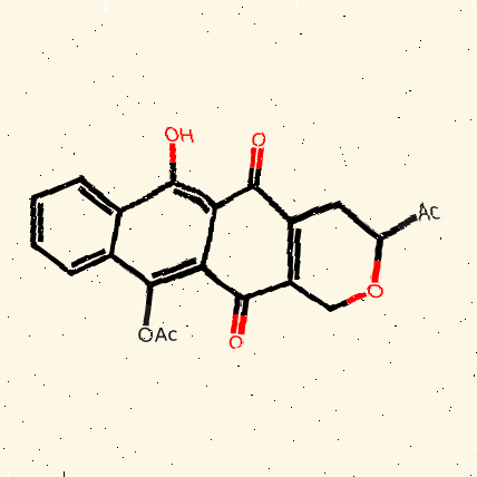 CC(=O)Oc1c2c(c(O)c3ccccc13)C(=O)C1=C(COC(C(C)=O)C1)C2=O